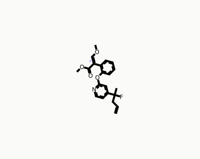 C=CCC(C)(F)c1ccnc(Oc2ccccc2/C(=C\OC)C(=O)OC)c1